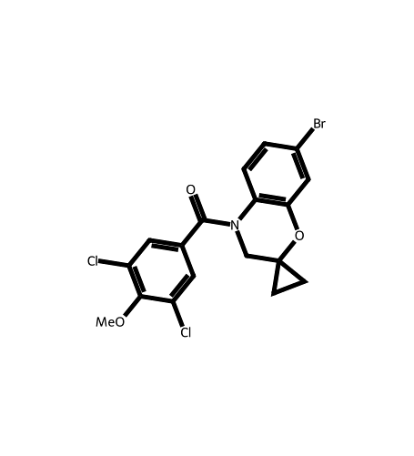 COc1c(Cl)cc(C(=O)N2CC3(CC3)Oc3cc(Br)ccc32)cc1Cl